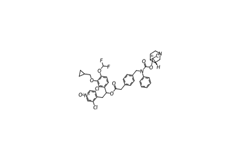 O=C(Cc1ccc(CN(C(=O)O[C@H]2CN3CCC2CC3)c2ccccc2)cc1)OC(Cc1c(Cl)c[n+]([O-])cc1Cl)c1ccc(OC(F)F)c(OCC2CC2)c1